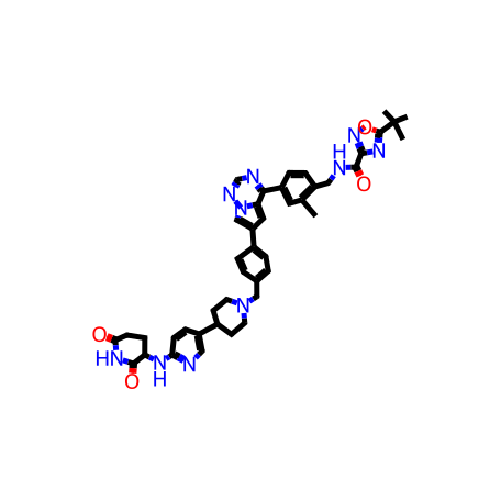 Cc1cc(-c2ncnn3cc(-c4ccc(CN5CCC(c6ccc(NC7CCC(=O)NC7=O)nc6)CC5)cc4)cc23)ccc1CNC(=O)c1noc(C(C)(C)C)n1